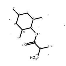 CC1CC(C)C(OC(=O)C(F)S(=O)(=O)O)C(C)C1